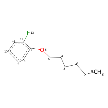 CCCCCCOc1ccccc1F